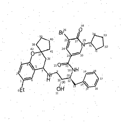 CCc1ccc2c(c1)C(NC[C@@H](O)[C@H](Cc1ccccc1)NC(=O)c1cc(Br)c(=O)n(C3CCCC3)c1)CC1(CCCC1)O2